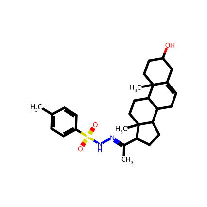 CC(=NNS(=O)(=O)c1ccc(C)cc1)C1CCC2C3CC=C4CC(O)CCC4(C)C3CCC12C